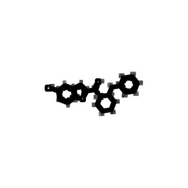 O=C(c1cc2cc(Cl)ccc2o1)N1CCCCC1Cc1ccccc1